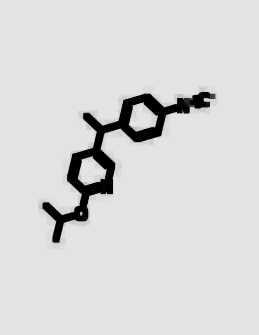 [C-]#[N+]c1ccc(C(C)c2ccc(OC(C)C)nc2)cc1